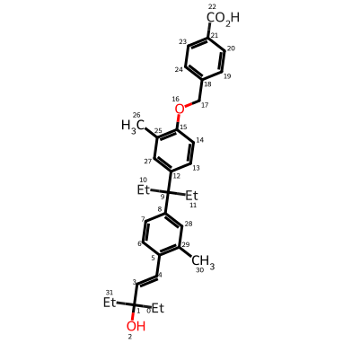 CCC(O)(/C=C/c1ccc(C(CC)(CC)c2ccc(OCc3ccc(C(=O)O)cc3)c(C)c2)cc1C)CC